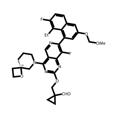 CCc1c(F)ccc2cc(OCOC)cc(-c3ncc4c(N5CCC[C@]6(CCO6)C5)nc(OCC5(C=O)CC5)nc4c3F)c12